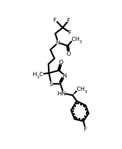 CC(=O)N(CCCC1(C)SC(N[C@@H](C)c2ccc(F)cc2)=NC1=O)CC(F)(F)F